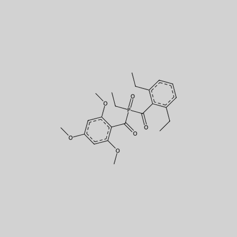 CCc1cccc(CC)c1C(=O)P(=O)(CC)C(=O)c1c(OC)cc(OC)cc1OC